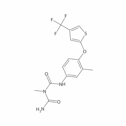 Cc1cc(NC(=O)N(C)C(N)=O)ccc1Oc1cc(C(F)(F)F)cs1